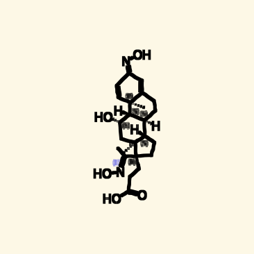 C/C(=N\O)[C@@]1(CCC(=O)O)CC[C@H]2[C@@H]3CCC4=CC(=NO)C=C[C@]4(C)[C@H]3[C@@H](O)C[C@@]21C